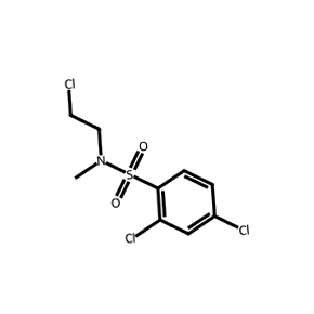 CN(CCCl)S(=O)(=O)c1ccc(Cl)cc1Cl